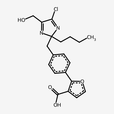 CCCCC1(Cc2ccc(-c3occc3C(=O)O)cc2)N=C(Cl)C(CO)=N1